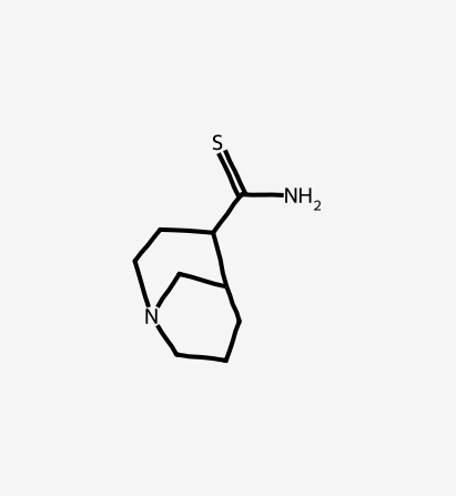 NC(=S)C1CCN2CCCC1C2